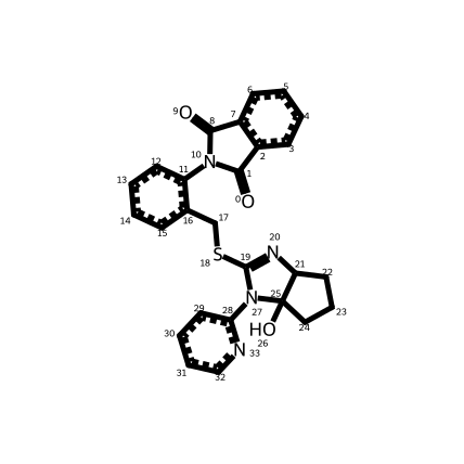 O=C1c2ccccc2C(=O)N1c1ccccc1CSC1=NC2CCCC2(O)N1c1ccccn1